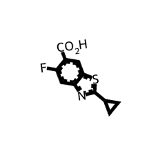 O=C(O)c1cc2sc(C3CC3)nc2cc1F